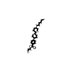 CCCCCC[C@H]1CC[C@H]([C@H]2CC[C@H](c3ccc(C(=O)OCCC)cc3)CC2)CC1